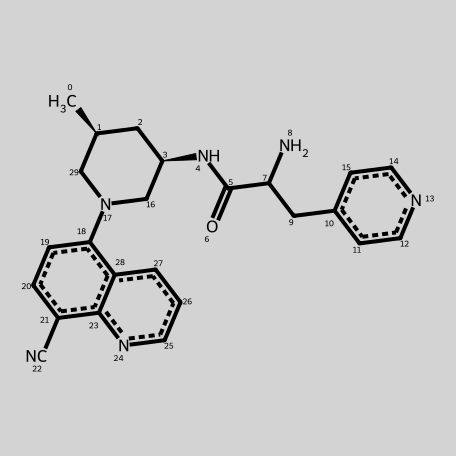 C[C@H]1C[C@@H](NC(=O)C(N)Cc2ccncc2)CN(c2ccc(C#N)c3ncccc23)C1